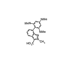 CNc1cc(NC)c(-c2cccc3c(C(=O)O)n(C)nc23)c(NC)c1